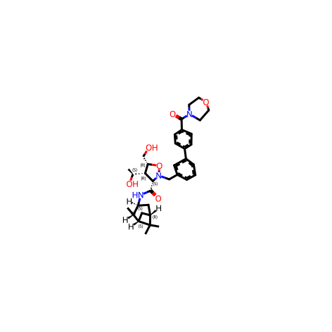 C[C@@H]1[C@@H](NC(=O)[C@@H]2[C@H]([C@H](C)O)[C@H](CO)ON2Cc2cccc(-c3ccc(C(=O)N4CCOCC4)cc3)c2)C[C@H]2C[C@@H]1C2(C)C